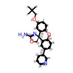 CC(C)(C)COc1ccc2c(c1)[C@]1(COC(N)=N1)c1cc(-c3cccnc3)ccc1O2